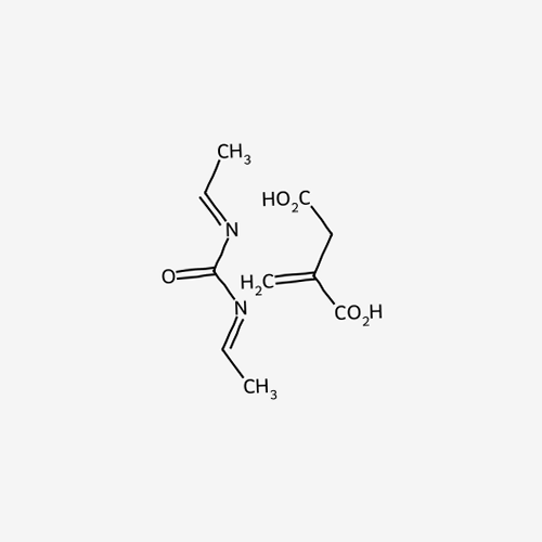 C=C(CC(=O)O)C(=O)O.CC=NC(=O)N=CC